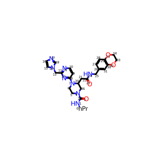 CCCNC(=O)N1CCN(c2ccnc(Cn3ccnc3)n2)C(CC(=O)NCc2ccc3c(c2)OCCO3)C1